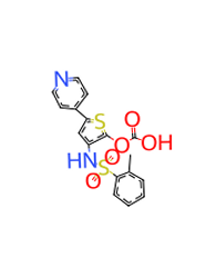 Cc1ccccc1S(=O)(=O)Nc1cc(-c2ccncc2)sc1OC(=O)O